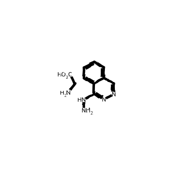 NCC(=O)O.NNc1nncc2ccccc12